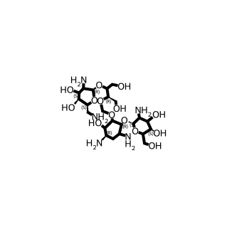 NC[C@@H]1O[C@H](OC(CO)[C@@H](CO)OCOC2C(O)[C@H](N)CC(N)[C@H]2O[C@H]2OC(CO)[C@@H](O)C(O)C2N)C(N)C(O)[C@@H]1O